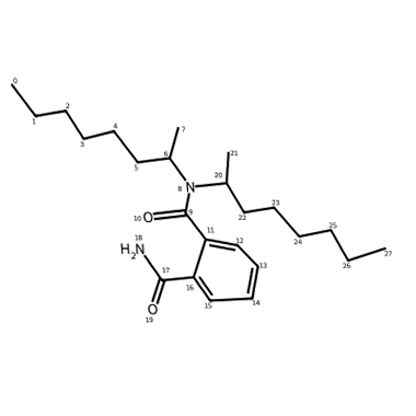 CCCCCCC(C)N(C(=O)c1ccccc1C(N)=O)C(C)CCCCCC